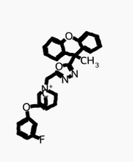 CC1(c2nnc(C[N+]34CCC(CC3)C(Oc3cccc(F)c3)C4)o2)c2ccccc2Oc2ccccc21